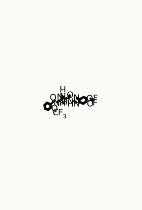 O=C(Nc1nc2cc3c(cc2[nH]1)OC(F)(F)O3)c1nc(NC(=O)c2ccccc2OC(F)(F)F)n[nH]1